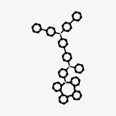 c1ccc(-c2ccc(N(c3ccc(-c4ccccc4)cc3)c3ccc(-c4ccc(N(c5ccccc5)c5cccc(-n6c7ccccc7c7ccccc7c7ccccc7c7ccccc76)c5)cc4)cc3)cc2)cc1